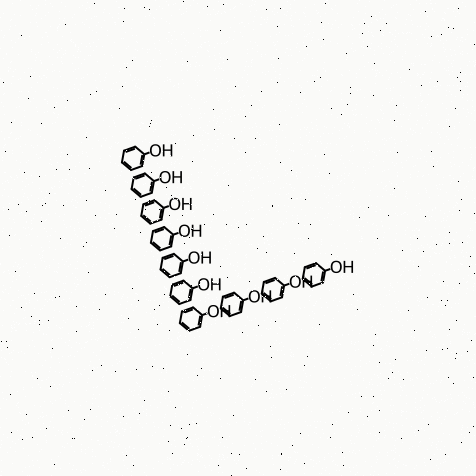 Oc1ccccc1.Oc1ccccc1.Oc1ccccc1.Oc1ccccc1.Oc1ccccc1.Oc1ccccc1.Oc1ccccc1.Oc1ccccc1.Oc1ccccc1.Oc1ccccc1